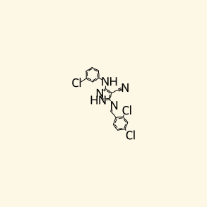 N#Cc1c(Nc2cccc(Cl)c2)n[nH]c1/N=C/c1ccc(Cl)cc1Cl